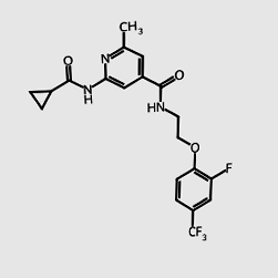 Cc1cc(C(=O)NCCOc2ccc(C(F)(F)F)cc2F)cc(NC(=O)C2CC2)n1